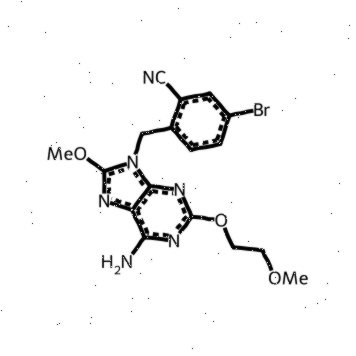 COCCOc1nc(N)c2nc(OC)n(Cc3ccc(Br)cc3C#N)c2n1